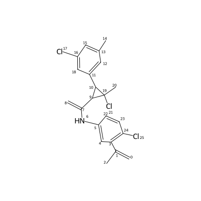 C=C(C)c1cc(NC(=C)C2C(c3cc(C)cc(Cl)c3)C2(C)Cl)ccc1Cl